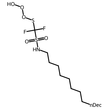 CCCCCCCCCCCCCCCCCCNS(=O)(=O)C(F)(F)SOOO